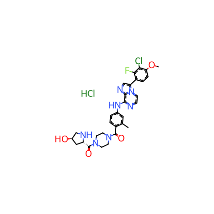 COc1ccc(-c2cnc3c(Nc4ccc(C(=O)N5CCN(C(=O)[C@@H]6C[C@@H](O)CN6)CC5)c(C)c4)nccn23)c(F)c1Cl.Cl